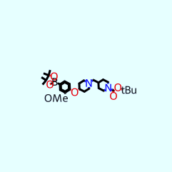 COc1cc(B2OC(C)(C)C(C)(C)O2)ccc1OC1CCN(CC2CCN(C(=O)OC(C)(C)C)CC2)CC1